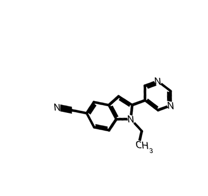 CCn1c(-c2cncnc2)cc2cc(C#N)ccc21